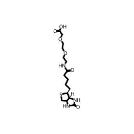 O=C(O)COCCOCCNC(=O)CCCC[C@@H]1SCC2NC(=O)N[C@@H]21